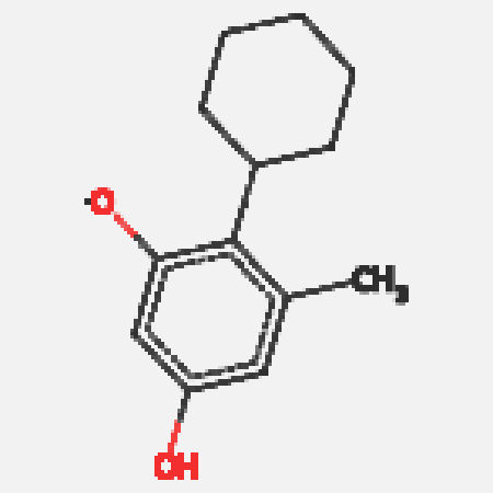 Cc1cc(O)cc([O])c1C1CCCCC1